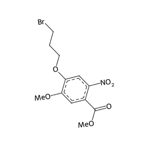 COC(=O)c1cc(OC)c(OCCCBr)cc1[N+](=O)[O-]